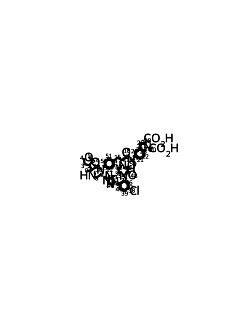 CC1(C2CCOC2)NCCN(c2ccc(CC(C(=O)Nc3ccc4c(c3)cc(C(=O)O)n4C(=O)O)N3CCN(c4cc(Cl)ccc4-n4cnnn4)C(=O)C3=O)cc2)C1=O